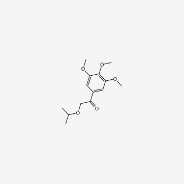 COc1cc(C(=O)COC(C)C)cc(OC)c1OC